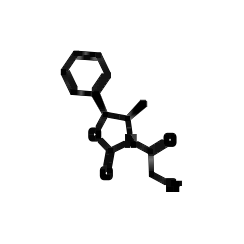 C[C@@H]1[C@H](c2ccccc2)OC(=O)N1C(=O)CBr